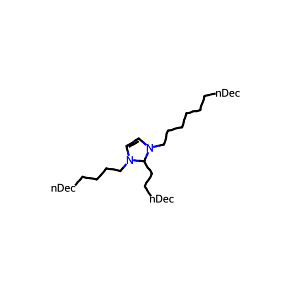 CCCCCCCCCCCCCCCCN1C=CN(CCCCCCCCCCCCCC)C1CCCCCCCCCCCC